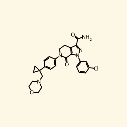 NC(=O)c1nn(-c2cccc(Cl)c2)c2c1CCN(c1ccc(C3(CN4CCOCC4)CC3)cc1)C2=O